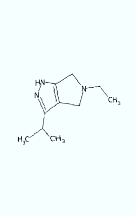 CCN1Cc2[nH]nc(C(C)C)c2C1